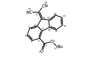 CC(C)(C)OC(=O)c1cccc2c1-c1ccccc1C2=C(C#N)C#N